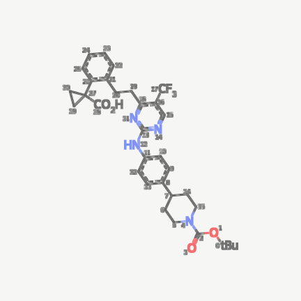 CC(C)(C)OC(=O)N1CCC(c2ccc(Nc3ncc(C(F)(F)F)c(CCc4ccccc4C4(C(=O)O)CC4)n3)cc2)CC1